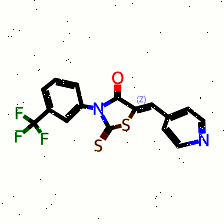 O=C1/C(=C/c2ccncc2)SC(=S)N1c1cccc(C(F)(F)F)c1